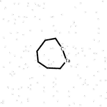 C1CC[CH2][Ta][CH2]CC1